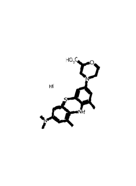 Cc1cc(N(C)C)cc2c1Nc1c(C)cc(N3CCOC(C(=O)O)C3)cc1S2.I